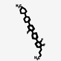 CCCCc1ccc(-c2ccc(-c3ccc(C4=CCC(C5CCC(C)CC5)CC4)cc3F)cc2)c(F)c1F